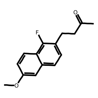 COc1ccc2c(F)c(CCC(C)=O)ccc2c1